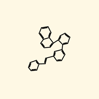 C(=Cc1cccc(-c2ccccc2-c2cccc3ccccc23)c1)c1ccccc1